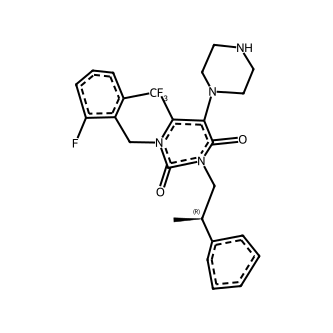 Cc1c(N2CCNCC2)c(=O)n(C[C@H](C)c2ccccc2)c(=O)n1Cc1c(F)cccc1C(F)(F)F